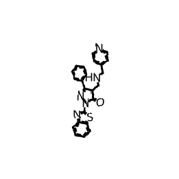 O=C1C(CNCc2ccncc2)C(c2ccccc2)=NN1c1nc2ccccc2s1